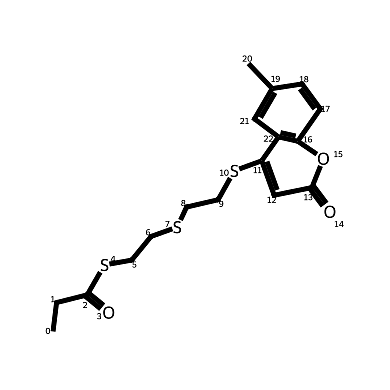 CCC(=O)SCCSCCSc1cc(=O)oc2ccc(C)cc12